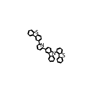 c1cc(-c2ccc3sc4ccccc4c3c2)nc(-c2ccc3c(c2)c2ccccc2n3-c2cccc3sc4ccccc4c23)c1